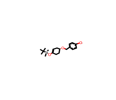 COc1ccc(CO[C@H]2CC=C(O[Si](C)(C)C(C)(C)C)CC2)cc1